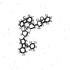 C1=CC(N(C2=CCC(c3ccc4c5ccccc5n(-c5ccccc5)c4c3)C=C2)c2cccc3sc4ccccc4c23)CC=C1C1C=Cc2c(oc3ccccc23)C1